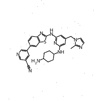 Cc1nccn1Cc1cc(Nc2nc3ccc(-c4cncc(C#N)c4)cc3s2)nc(NC2CCC(N)CC2)c1